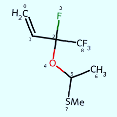 C=CC(F)(OC(C)SC)C(F)(F)F